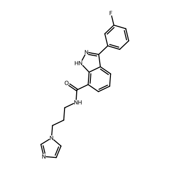 O=C(NCCCn1ccnc1)c1cccc2c(-c3cccc(F)c3)n[nH]c12